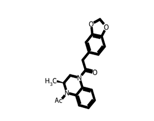 CC(=O)N1c2ccccc2N(C(=O)Cc2ccc3c(c2)OCO3)C[C@@H]1C